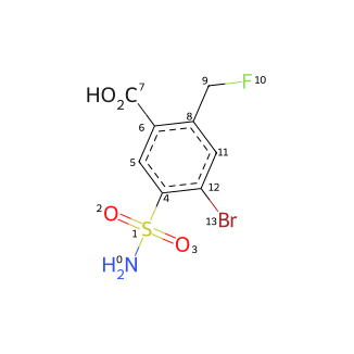 NS(=O)(=O)c1cc(C(=O)O)c(CF)cc1Br